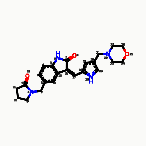 O=C1Nc2ccc(CN3CCCC3=O)cc2C1=Cc1cc(CN2CCOCC2)c[nH]1